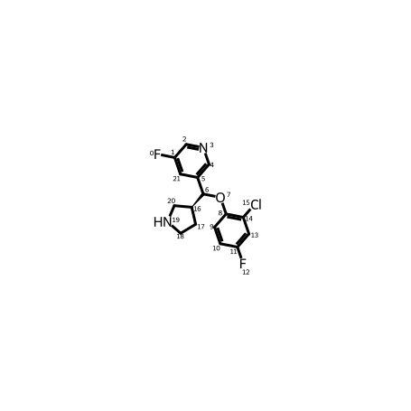 Fc1cncc(C(Oc2ccc(F)cc2Cl)[C@H]2CCNC2)c1